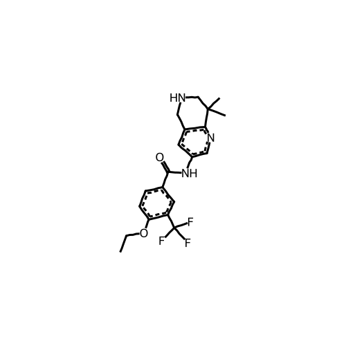 CCOc1ccc(C(=O)Nc2cnc3c(c2)CNCC3(C)C)cc1C(F)(F)F